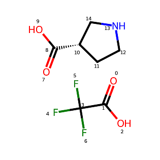 O=C(O)C(F)(F)F.O=C(O)[C@H]1CCNC1